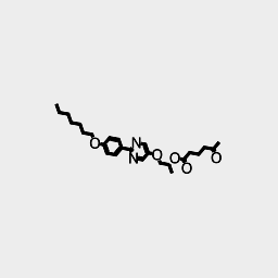 CCCCCCCOc1ccc(-c2ncc(OCC(C)OC(=O)CCCC(C)=O)cn2)cc1